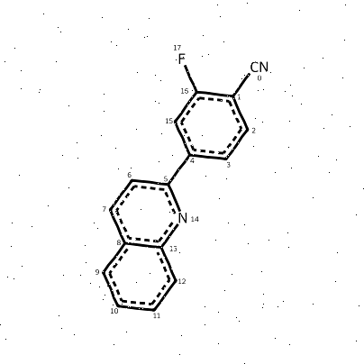 N#Cc1ccc(-c2ccc3ccccc3n2)cc1F